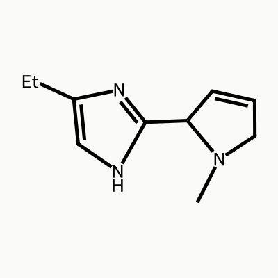 CCc1c[nH]c(C2C=CCN2C)n1